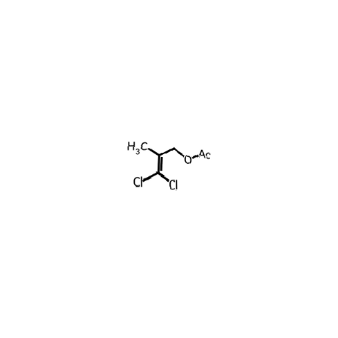 CC(=O)OCC(C)=C(Cl)Cl